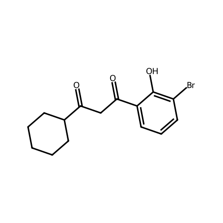 O=C(CC(=O)C1CCCCC1)c1cccc(Br)c1O